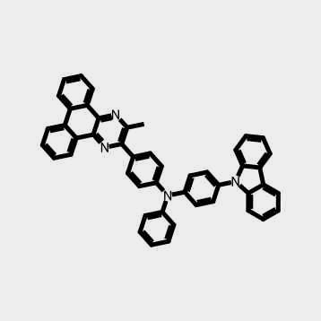 Cc1nc2c3ccccc3c3ccccc3c2nc1-c1ccc(N(c2ccccc2)c2ccc(-n3c4ccccc4c4ccccc43)cc2)cc1